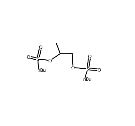 CCCCS(=O)(=O)OCC(C)OS(=O)(=O)CCCC